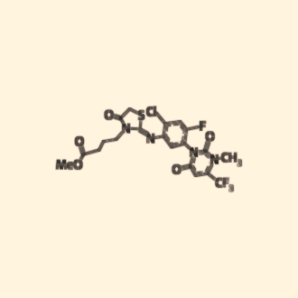 COC(=O)CCCN1C(=O)CSC1=Nc1cc(-n2c(=O)cc(C(F)(F)F)n(C)c2=O)c(F)cc1Cl